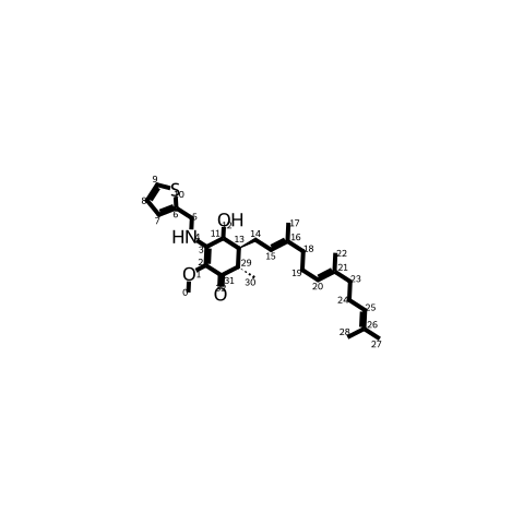 COC1=C(NCc2cccs2)C(O)[C@@H](C/C=C(\C)CC/C=C(\C)CCC=C(C)C)[C@H](C)C1=O